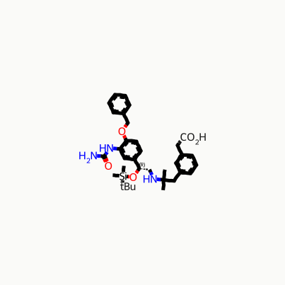 CC(C)(Cc1cccc(CC(=O)O)c1)NC[C@H](O[Si](C)(C)C(C)(C)C)c1ccc(OCc2ccccc2)c(NC(N)=O)c1